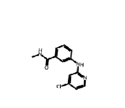 CNC(=O)c1cccc(Nc2cc(Cl)ccn2)c1